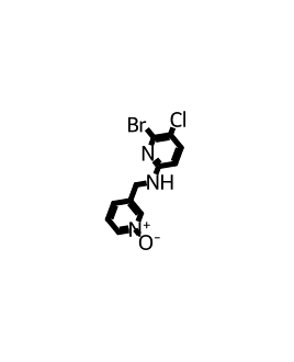 [O-][n+]1cccc(CNc2ccc(Cl)c(Br)n2)c1